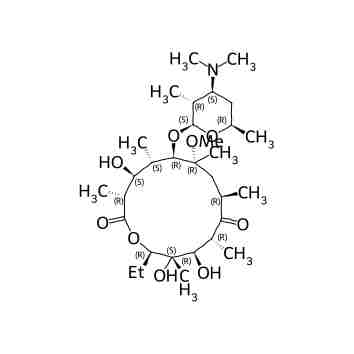 CC[C@H]1OC(=O)[C@H](C)[C@@H](O)[C@H](C)[C@@H](O[C@@H]2O[C@H](C)C[C@H](N(C)C)[C@H]2C)[C@](C)(OC)C[C@@H](C)C(=O)[C@H](C)[C@@H](O)[C@]1(C)O